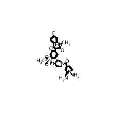 CNC(=O)c1c(-c2ccc(F)cc2)oc2cc(N(C)S(C)(=O)=O)c([C@H]3CCCN(C(=O)C4=C/C(=C/N)N(N)C=C4)C3)cc12